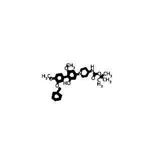 COc1ccc(-c2c(O)cc(N3CCC(NC(=O)OC(C)(C)C)CC3)cc2OC)cc1OCc1ccccc1